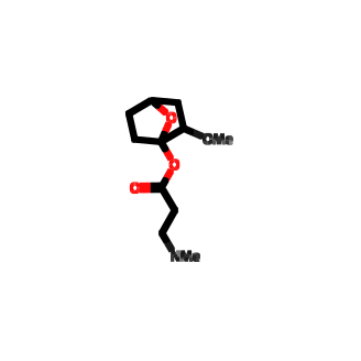 CNCCC(=O)OC12CCC(CC1OC)O2